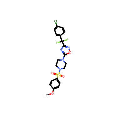 CCOc1ccc(S(=O)(=O)N2CCN(c3nc(C(F)(F)c4ccc(Cl)cc4)no3)CC2)cc1